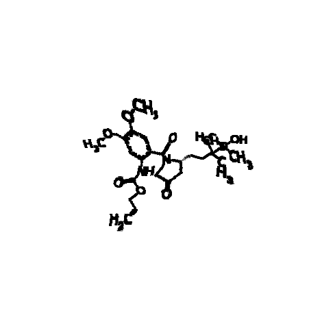 C=CCOC(=O)Nc1cc(OC)c(OC)cc1C(=O)N1CC(=O)C[C@H]1CCC(C)(C)[Si](C)(C)O